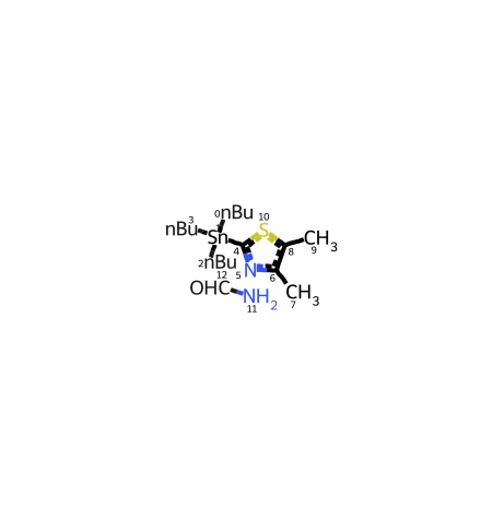 CCC[CH2][Sn]([CH2]CCC)([CH2]CCC)[c]1nc(C)c(C)s1.NC=O